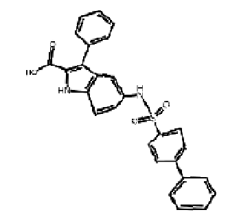 O=C(O)c1[nH]c2ccc(NS(=O)(=O)c3ccc(-c4ccccc4)cc3)cc2c1-c1ccccc1